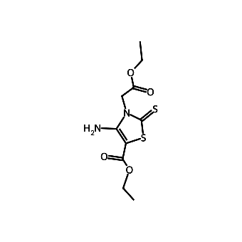 CCOC(=O)Cn1c(N)c(C(=O)OCC)sc1=S